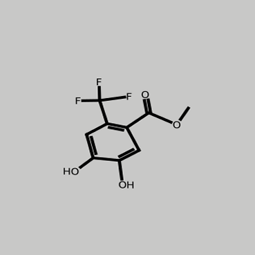 COC(=O)c1cc(O)c(O)cc1C(F)(F)F